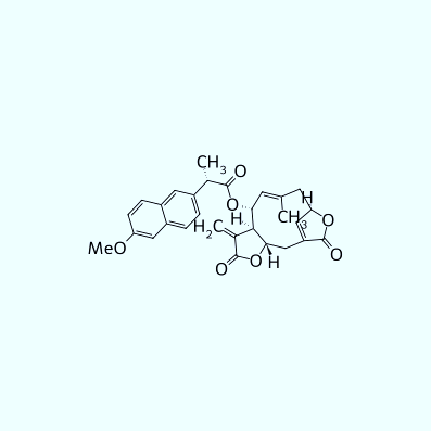 C=C1C(=O)O[C@H]2CC3=C[C@@H](C/C(C)=C/[C@@H](OC(=O)[C@@H](C)c4ccc5cc(OC)ccc5c4)[C@H]12)OC3=O